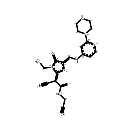 C#CCNC(=O)C(C#N)=c1sc(=CNc2ccnc(N3CCOCC3)c2)c(=O)n1CC